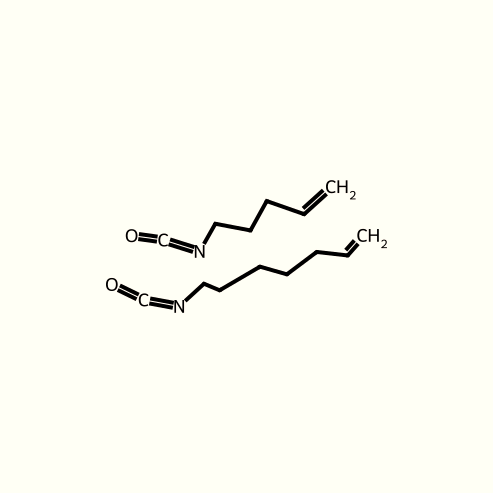 C=CCCCCCN=C=O.C=CCCCN=C=O